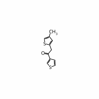 Cc1csc(CC(=O)c2ccsc2)c1